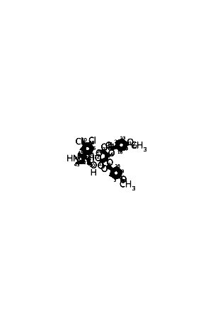 COc1ccc(C(=O)O[C@@H](C(=O)O)[C@@H](OC(=O)c2ccc(OC)cc2)C(=O)O)cc1.OCC[C@@]1(c2ccc(Cl)c(Cl)c2)CCNC1